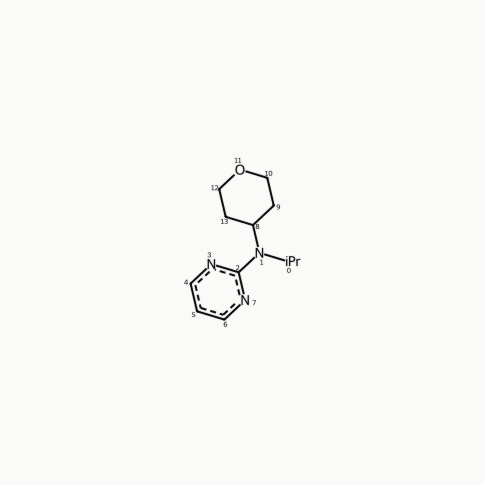 CC(C)N(c1ncccn1)C1CCOCC1